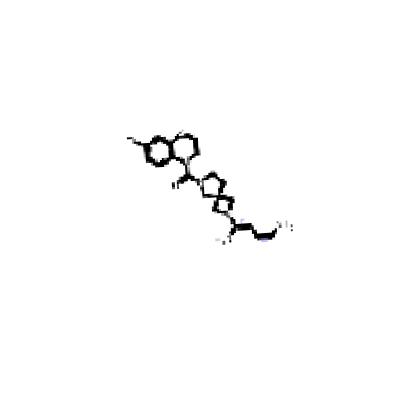 N/C=C\C=C(/N)N1CC2(CCN(C(=O)N3CCSc4cc(Cl)ccc43)C2)C1